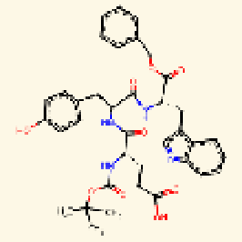 CC(C)(C)OC(=O)N[C@@H](CCC(=O)O)C(=O)N[C@@H](Cc1ccc(O)cc1)C(=O)N[C@@H](Cc1c[nH]c2ccccc12)C(=O)OCc1ccccc1